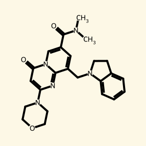 CN(C)C(=O)c1cc(CN2CCc3ccccc32)c2nc(N3CCOCC3)cc(=O)n2c1